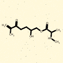 C=C(C)C(=O)CCC(O)COC(=O)C(C)NC